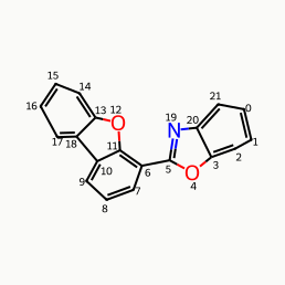 c1ccc2oc(-c3cccc4c3oc3ccccc34)nc2c1